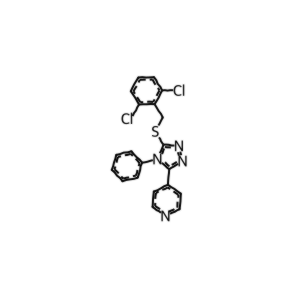 Clc1cccc(Cl)c1CSc1nnc(-c2ccncc2)n1-c1ccccc1